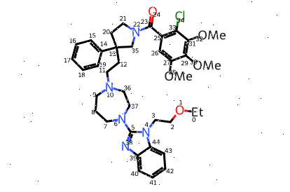 CCOCCn1c(N2CCCN(CCC3(c4ccccc4)CCN(C(=O)c4cc(OC)c(OC)c(OC)c4Cl)C3)CC2)nc2ccccc21